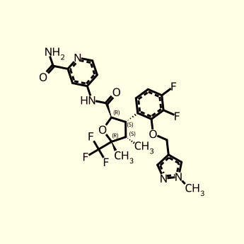 C[C@H]1[C@@H](c2ccc(F)c(F)c2OCc2cnn(C)c2)[C@H](C(=O)Nc2ccnc(C(N)=O)c2)O[C@@]1(C)C(F)(F)F